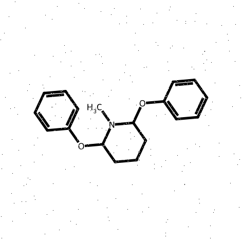 CN1C(Oc2ccccc2)C[CH]CC1Oc1ccccc1